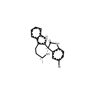 C[C@@H]1CCc2c([nH]c3ccccc23)[C@@]2(N1)C(=O)Nc1ccc(Br)cc12